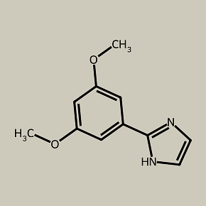 COc1cc(OC)cc(-c2ncc[nH]2)c1